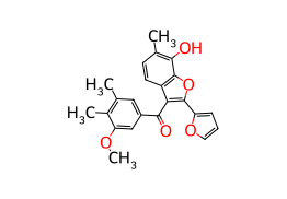 COc1cc(C(=O)c2c(-c3ccco3)oc3c(O)c(C)ccc23)cc(C)c1C